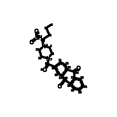 CCCC(N1CCN(C(=O)c2ccc3c(c2)C(=O)c2ccccc2C3=O)CC1)[SH](=O)=O